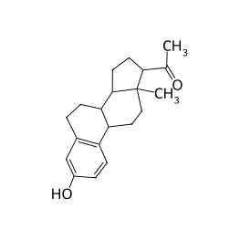 CC(=O)C1CCC2C3CCc4cc(O)ccc4C3CCC12C